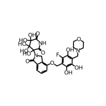 O=C1c2cccc(OCc3c(O)c(O)c(CN4CCOCC4)c(O)c3F)c2CN1C1(O)C(=O)NC(=O)C(O)(O)C1(O)O